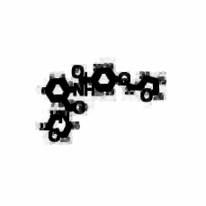 O=C(Nc1ccccc1C(=O)N1CCOCC1)c1ccc(OCC2CCCO2)cc1